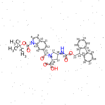 CC(C)(C)OC(=O)n1ccc2ccc(C(=O)N3C[C@@H](NC(=O)OCC4c5ccccc5-c5ccccc54)C[C@H]3C(=O)O)cc21